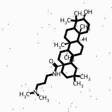 CN(C)CCCNC(=O)[C@]12CCC(C)(C)CC1=C1CC[C@@H]3[C@@]4(C)CC[C@H](O)C(C)(C)C4CC[C@@]3(C)[C@]1(C)CC2